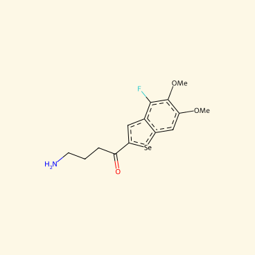 COc1cc2[se]c(C(=O)CCCN)cc2c(F)c1OC